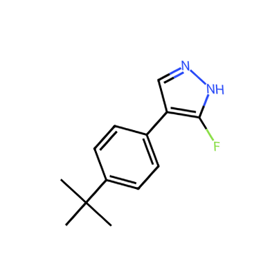 CC(C)(C)c1ccc(-c2cn[nH]c2F)cc1